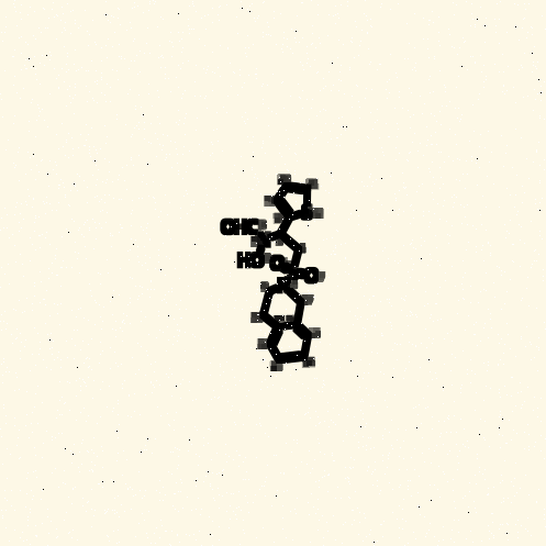 O=CN(O)C(CS(=O)(=O)N1CCc2ccccc2C1)c1cccs1